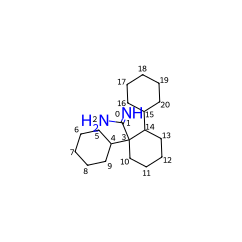 N=C(N)C1(C2CCCCC2)CCCCC1C1CCCCC1